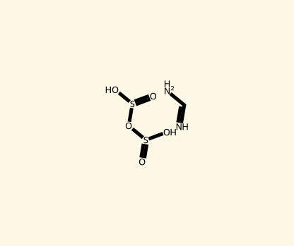 N=CN.O=S(O)OS(=O)O